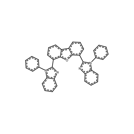 c1ccc(-n2c(-c3cccc4c3oc3c(-c5nc6ccccc6n5-c5ccccc5)cccc34)nc3ccccc32)cc1